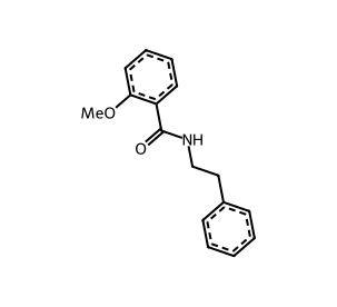 COc1ccccc1C(=O)NCCc1ccccc1